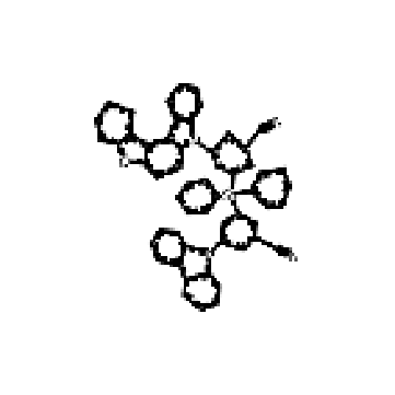 N#Cc1cc(-n2c3ccccc3c3ccccc32)cc([Si](c2ccccc2)(c2ccccc2)c2cc(C#N)cc(-n3c4ccccc4c4c5c(ccc43)oc3ccccc35)c2)c1